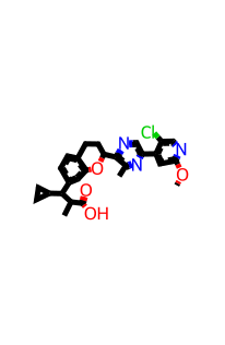 COc1cc(-c2cnc(C3CCc4ccc(C(C5CC5)C(C)C(=O)O)cc4O3)c(C)n2)c(Cl)cn1